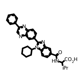 CC(C)C(NC(=O)c1ccc2c(c1)nc(-c1ccc3nc(-c4ccccc4)cnc3c1)n2C1CCCCC1)C(=O)O